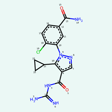 N=C(N)NC(=O)c1cnn(-c2cc(C(N)=O)ccc2Cl)c1C1CC1